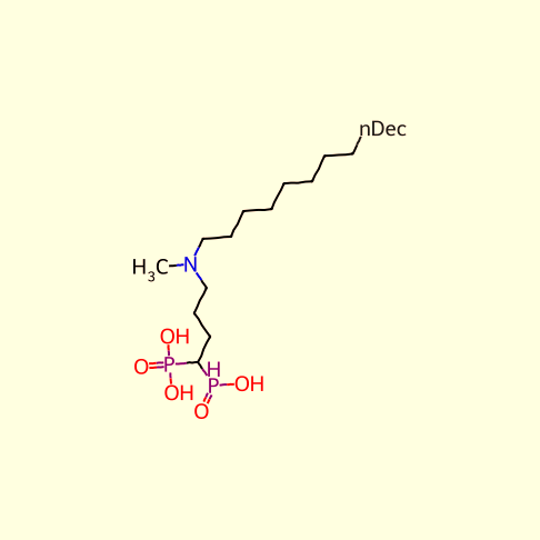 CCCCCCCCCCCCCCCCCCN(C)CCCC([PH](=O)O)P(=O)(O)O